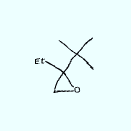 CCC1(C(C)(C)C)CO1